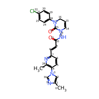 Cc1cn(-c2ccc(C=CC(=O)NN3C=CCN(c4ccc(Cl)cc4)C3=O)nc2C)cn1